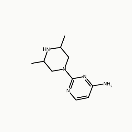 CC1CN(c2nccc(N)n2)CC(C)N1